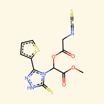 COC(=O)C(OC(=O)CN=C=S)n1c(-c2cccs2)n[nH]c1=S